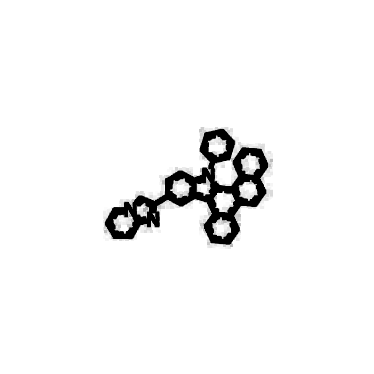 c1ccc(-n2c3ccc(-c4cn5ccccc5n4)cc3c3c4ccccc4c4ccc5ccccc5c4c32)cc1